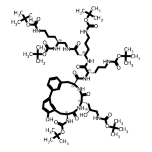 CC(C)(C)OC(=O)NCCC[C@@H](CNC(=O)C[C@H](CCCNC(=O)OC(C)(C)C)NC(=O)[C@H](CCCNC(=O)OC(C)(C)C)NC(=O)[C@@H]1Cc2cccc(c2)-c2ccc(O)c(c2)C[C@H](NC(=O)OC(C)(C)C)C(=O)N[C@@H](C[C@@H](O)CNC(=O)OC(C)(C)C)C(=O)N1)NC(=O)OC(C)(C)C